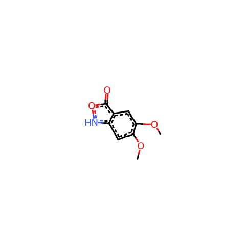 COc1cc2[nH]oc(=O)c2cc1OC